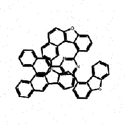 c1ccc2cc(-c3nc(-c4cccc5sc6ccccc6c45)nc(-c4cccc5oc6ccc7ccc(-n8c9ccccc9c9cc%10ccccc%10cc98)cc7c6c45)n3)ccc2c1